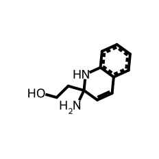 NC1(CCO)C=Cc2ccccc2N1